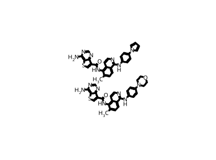 Cc1ccc2c(Nc3ccc(-n4cccc4)cc3)nccc2c1NC(=O)c1csc2c(N)ncnc12.Cc1ccc2c(Nc3ccc(N4CCOCC4)cc3)nccc2c1NC(=O)c1csc2c(N)ncnc12